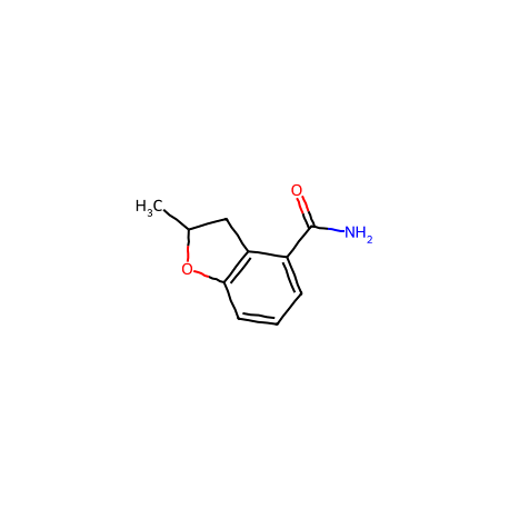 CC1Cc2c(cccc2C(N)=O)O1